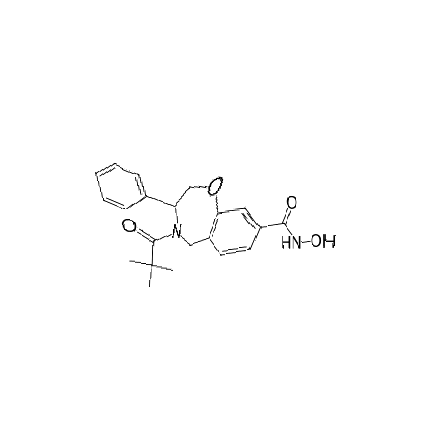 CC(C)(C)C(=O)N1Cc2ccc(C(=O)NO)cc2OCC1c1ccccc1